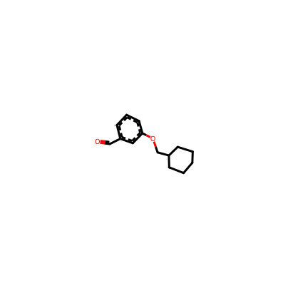 O=Cc1[c]ccc(OCC2CCCCC2)c1